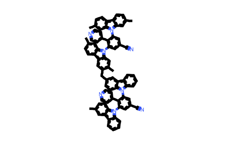 Cc1ccc2c(c1)c1ccccc1n2-c1cc(C#N)cc(-n2c3ccccc3c3cc(Cc4cc5c6ccc(C)cc6n(-c6cc(C#N)cc(-n7c8cc(C)ccc8c8ccc(C)cc87)c6-c6ccncc6)c5cc4C)ccc32)c1-c1ccncc1